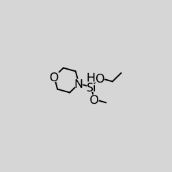 CCO[SiH](OC)N1CCOCC1